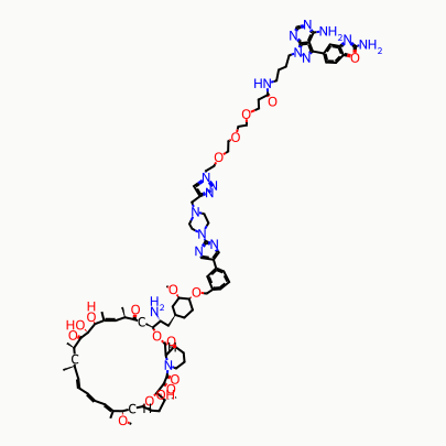 CO[C@H]1C[C@@H]2CC[C@@H](C)[C@@](O)(O2)C(=O)C(=O)N2CCCC[C@H]2C(=O)O[C@H]([C@H](N)C[C@@H]2CC[C@@H](OCc3cccc(-c4cnc(N5CCN(Cc6cn(CCOCCOCCOCCC(=O)NCCCCn7nc(-c8ccc9oc(N)nc9c8)c8c(N)ncnc87)nn6)CC5)nc4)c3)[C@H](OC)C2)CC(=O)[C@H](C)/C=C(\C)[C@@H](O)[C@@H](O)C(=O)[C@H](C)C[C@H](C)/C=C/C=C/C=C/1C